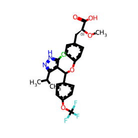 CO[C@@H](Cc1ccc(OC(c2ccc(OC(F)(F)F)cc2)c2c(C(C)C)n[nH]c2Cl)cc1)C(=O)O